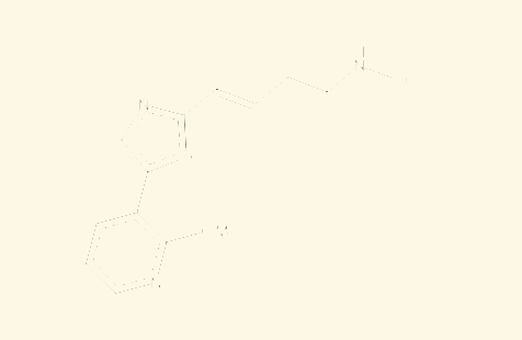 COc1ncccc1-c1cnc(C=CCCNC(=O)O)o1